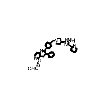 O=COCOc1nccc2nc(-c3ccc(CN4CCC(c5n[nH]c(-c6ccccn6)n5)CC4)cc3)c(-c3ccccc3)cc12